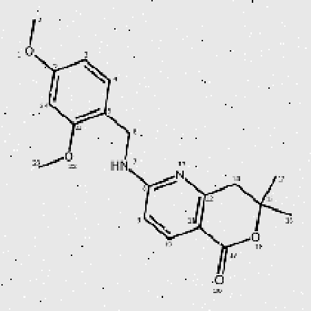 COc1ccc(CNc2ccc3c(n2)CC(C)(C)OC3=O)c(OC)c1